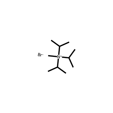 CC(C)[N+](C)(C(C)C)C(C)C.[Br-]